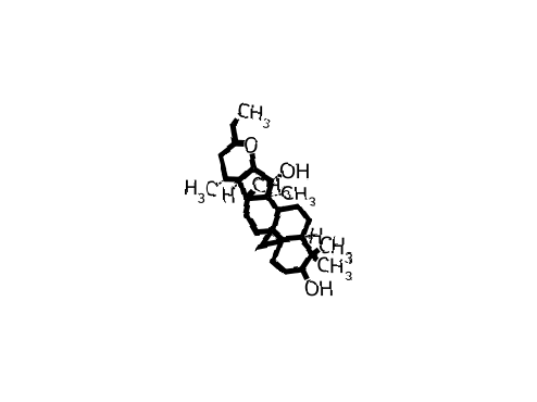 CCC1C[C@@H](C)[C@H]2C(O1)[C@H](O)[C@@]1(C)C3CC[C@H]4C(C)(C)C(O)CCC45CC35CCC21C